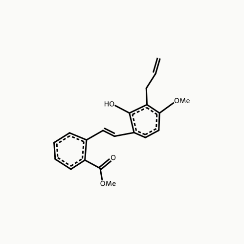 C=CCc1c(OC)ccc(C=Cc2ccccc2C(=O)OC)c1O